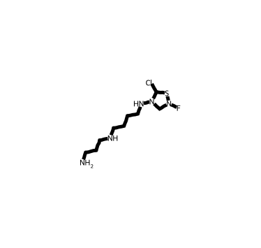 NCCCNCCCCNN1CN(F)SC1Cl